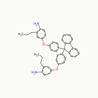 CCCc1cc(Oc2ccc(C3(c4ccc(Oc5ccc(N)c(CCC)c5)cc4)c4ccccc4-c4ccccc43)cc2)ccc1N